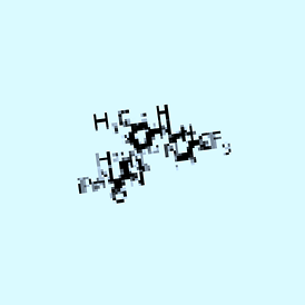 Cc1cc(Nc2nccc(C(F)(F)F)n2)cc(-n2cnc(C(=O)NC(C)C)c2)c1